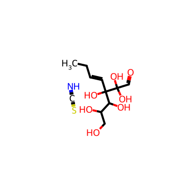 CCC=CC(O)(C(O)C(O)CO)C(O)(O)C=O.N=C=S